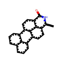 C=c1[nH]c(=O)c2ccc3c4cccc5cccc(c6ccc1c2c63)c54